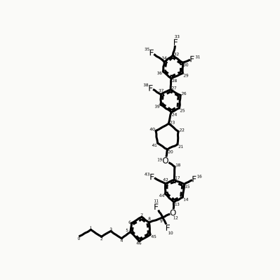 CCCCCc1ccc(C(F)(F)Oc2cc(F)c(COC3CCC(c4ccc(-c5cc(F)c(F)c(F)c5)c(F)c4)CC3)c(F)c2)cc1